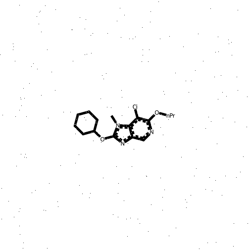 CCCOc1ncc2nc(OC3CCCCC3)n(C)c2c1Cl